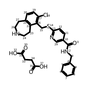 O=C(NCc1ccccc1)c1ccc(SCc2c(Cl)ccc3c2CCNCC3)nc1.O=C(O)CCC(=O)O